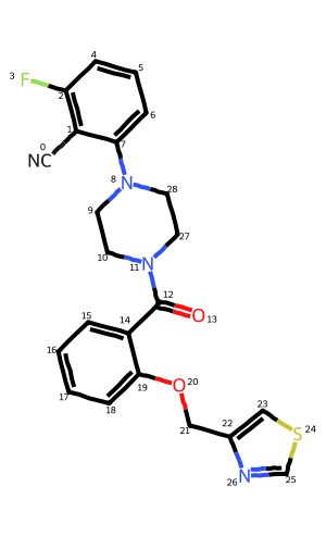 N#Cc1c(F)cccc1N1CCN(C(=O)c2ccccc2OCc2cscn2)CC1